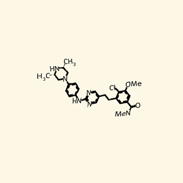 CNC(=O)c1cc(CCc2cnc(Nc3ccc(N4C[C@@H](C)N[C@@H](C)C4)cc3)nc2)c(Cl)c(OC)c1